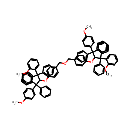 COc1ccc(C(c2ccccc2)(c2ccccc2)C(Oc2ccc(COCc3ccc(OC(C(c4ccccc4)(c4ccccc4)c4ccc(OC)cc4)C(c4ccccc4)(c4ccccc4)c4ccccc4OC)cc3)cc2)C(c2ccccc2)(c2ccccc2)c2ccccc2OC)cc1